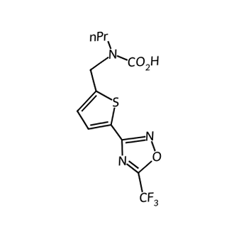 CCCN(Cc1ccc(-c2noc(C(F)(F)F)n2)s1)C(=O)O